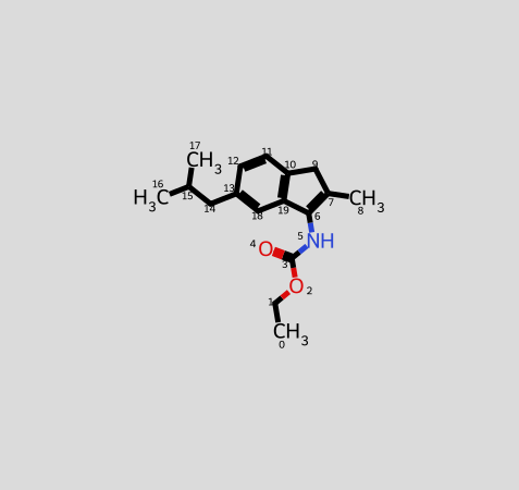 CCOC(=O)NC1=C(C)Cc2ccc(CC(C)C)cc21